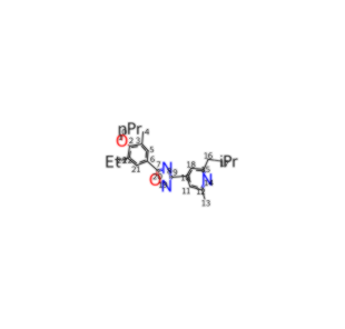 CCCOc1c(C)cc(-c2nc(-c3cc(C)nc(CC(C)C)c3)no2)cc1CC